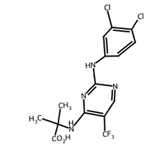 CC(C)(Nc1nc(Nc2ccc(Cl)c(Cl)c2)ncc1C(F)(F)F)C(=O)O